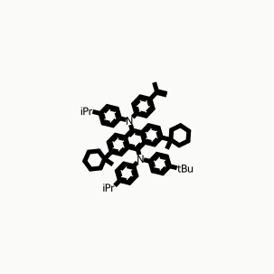 C=C(C)c1ccc(N(c2ccc(C(C)C)cc2)c2c3ccc(C4(C)CCCCC4)cc3c(N(c3ccc(C(C)C)cc3)c3ccc(C(C)(C)C)cc3)c3cc(C4(C)CCCCC4)ccc23)cc1